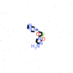 Nc1ccn([C@@H]2O[C@H](CN3CCn4ccnc4C3)CC2(F)F)c(=O)n1